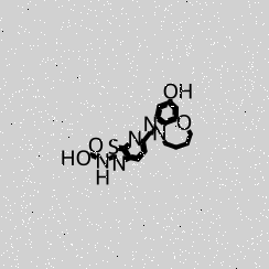 O=C(O)Nc1nc2ccc(-c3nc4cc(O)cc5c4n3CCCCO5)nc2s1